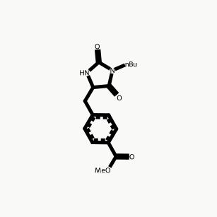 CCCCN1C(=O)NC(Cc2ccc(C(=O)OC)cc2)C1=O